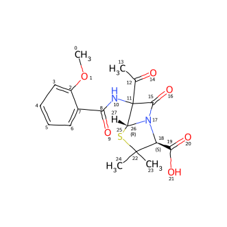 COc1ccccc1C(=O)NC1(C(C)=O)C(=O)N2[C@@H](C(=O)O)C(C)(C)S[C@@H]21